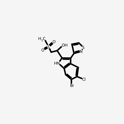 CS(=O)(=O)CC(O)c1[nH]c2cc(Br)c(Cl)cc2c1-c1ccsn1